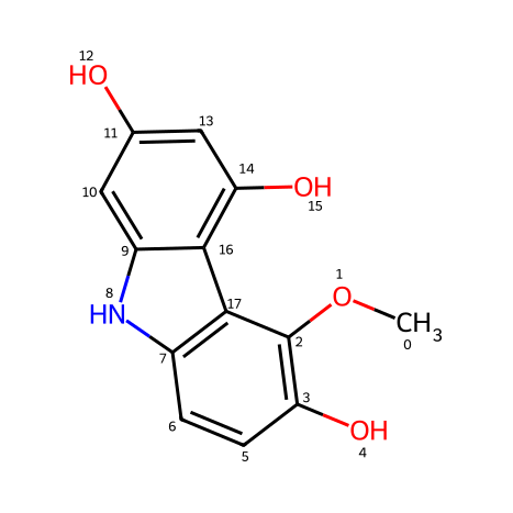 COc1c(O)ccc2[nH]c3cc(O)cc(O)c3c12